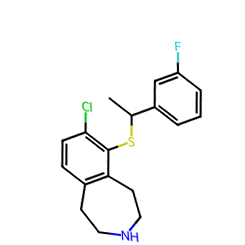 CC(Sc1c(Cl)ccc2c1CCNCC2)c1cccc(F)c1